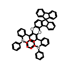 C1=CC2c3c(ccc4c3Oc3c(-c5ccccc5N(c5ccccc5)c5ccccc5)ccc(-c5ccccc5N(c5ccccc5)c5ccccc5)c3O4)C3(c4ccccc4-c4ccccc43)C2C=C1